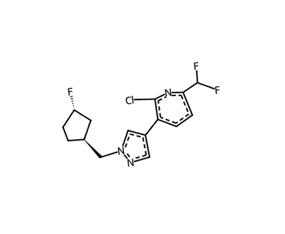 FC(F)c1ccc(-c2cnn(C[C@H]3CC[C@H](F)C3)c2)c(Cl)n1